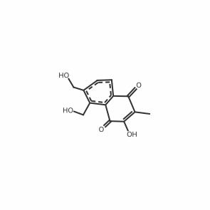 CC1=C(O)C(=O)c2c(ccc(CO)c2CO)C1=O